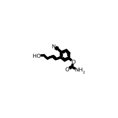 N#Cc1ccc(OC(N)=O)cc1C=CCCO